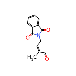 CC(C=O)=CCN1C(=O)c2ccccc2C1=O